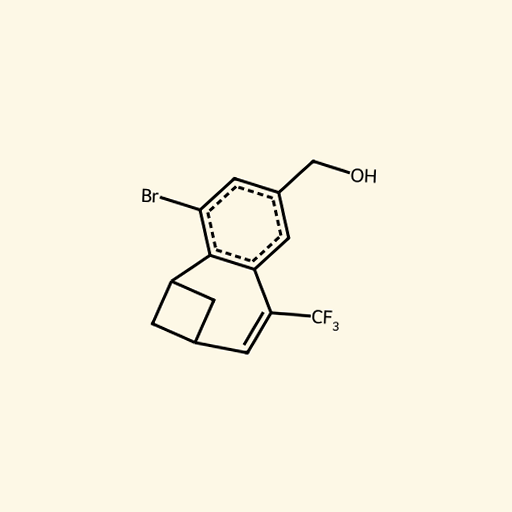 OCc1cc(Br)c2c(c1)C(C(F)(F)F)=CC1CC2C1